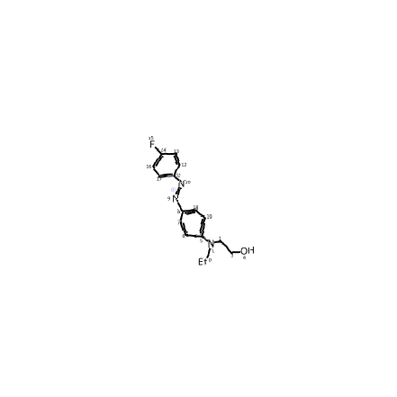 CCN(CCO)c1ccc(/N=N/c2ccc(F)cc2)cc1